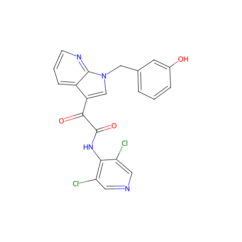 O=C(Nc1c(Cl)cncc1Cl)C(=O)c1cn(Cc2cccc(O)c2)c2ncccc12